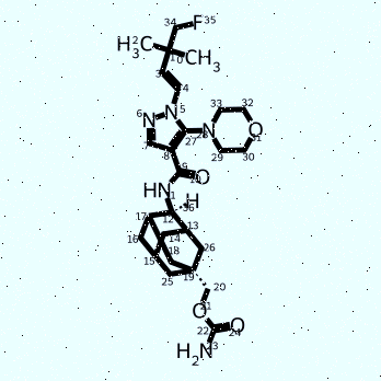 CC(C)(/C=C/n1ncc(C(=O)N[C@H]2C3CC4CC2C[C@](COC(N)=O)(C4)C3)c1N1CCOCC1)CF